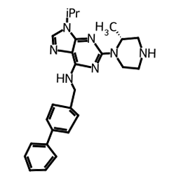 CC(C)n1cnc2c(NCc3ccc(-c4ccccc4)cc3)nc(N3CCNC[C@H]3C)nc21